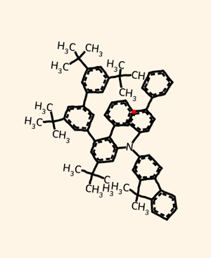 CC(C)(C)c1cc(-c2cc(C(C)(C)C)cc(C(C)(C)C)c2)cc(-c2cc(C(C)(C)C)cc(N(c3ccc(-c4ccccc4)cc3)c3ccc4c(c3)C(C)(C)c3ccccc3-4)c2-c2ccccc2)c1